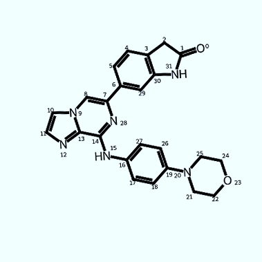 O=C1Cc2ccc(-c3cn4ccnc4c(Nc4ccc(N5CCOCC5)cc4)n3)cc2N1